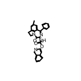 Cc1cc2c3c(c1)C(c1ccccc1)=N[C@@H](NC(=O)Oc1cc4ccccc4cn1)C(=O)N3CC2